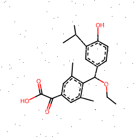 CCOC(c1ccc(O)c(C(C)C)c1)c1c(C)cc(C(=O)C(=O)O)cc1C